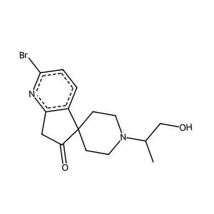 CC(CO)N1CCC2(CC1)C(=O)Cc1nc(Br)ccc12